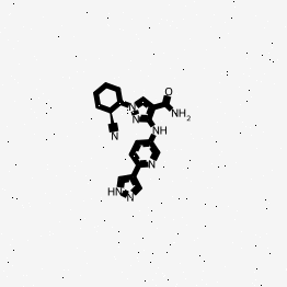 N#C[C@H]1CCCCC1n1cc(C(N)=O)c(Nc2ccc(-c3cn[nH]c3)nc2)n1